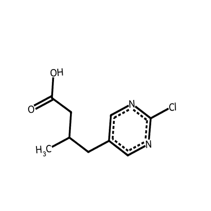 CC(CC(=O)O)Cc1cnc(Cl)nc1